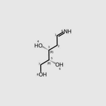 N=CC[C@@H](O)[C@H](O)CO